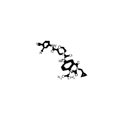 CC(C)n1c(=O)n(CC2CC2)c(=O)c2cc(NC(=O)N3CCOC(C(=O)Nc4ccc(C#N)c(C#N)c4)C3)ccc21